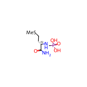 CSCC[C@H](NCP(=O)(O)O)C(N)=O